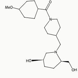 COC1CCC(C(=O)N2CCC(CN3C[C@H](O)CC[C@@H]3CO)CC2)CC1